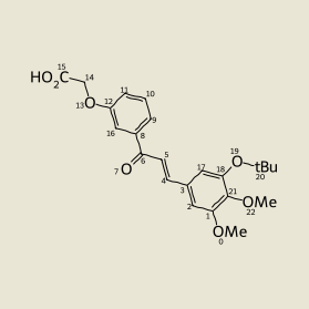 COc1cc(C=CC(=O)c2cccc(OCC(=O)O)c2)cc(OC(C)(C)C)c1OC